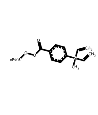 [CH2]CCCCOOC(=O)c1ccc([Si](C)(C=C)C=C)cc1